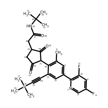 Cc1cc(-c2ncc(F)cc2F)cc(C#C[Si](C)(C)C)c1C1C(=O)CC(CC(=O)NC(C)(C)C)C1=O